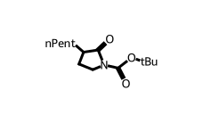 CCCCCC1CCN(C(=O)OC(C)(C)C)C1=O